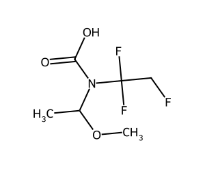 COC(C)N(C(=O)O)C(F)(F)CF